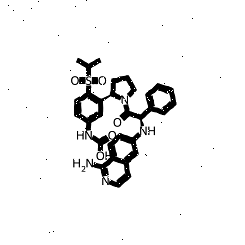 CC(C)S(=O)(=O)c1ccc(NC(=O)O)cc1[C@H]1CCCN1C(=O)[C@H](Nc1ccc2c(N)nccc2c1)c1ccccc1